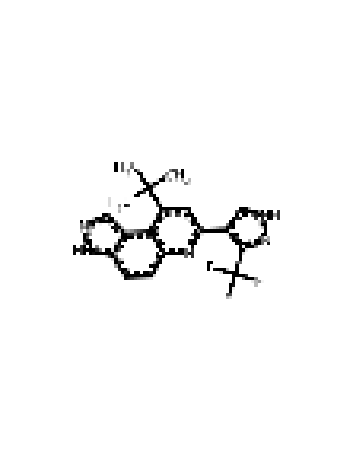 CC(C)(C)c1cc(-c2c[nH]nc2C(F)(F)F)nc2ccc3[nH]ncc3c12